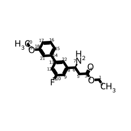 CCOC(=O)C[C@H](N)c1cc(F)cc(-c2cccc(OC)c2)c1